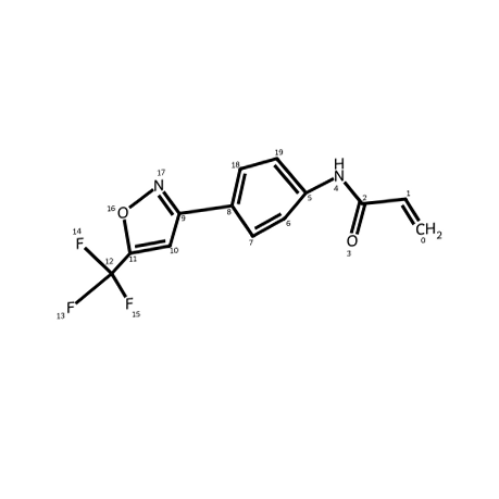 C=CC(=O)Nc1ccc(-c2cc(C(F)(F)F)on2)cc1